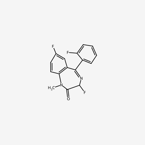 CN1C(=O)C(F)N=C(c2ccccc2F)c2cc(F)ccc21